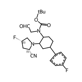 CC(C)(C)OC(=O)N(CC=O)C1CCC(c2ccc(F)cc2)CC1N1C[C@@H](F)C[C@H]1C#N